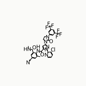 CNC(=O)c1cc(C#N)cc(C)c1NC(=O)c1cc(N2CCN(c3cc(C(F)(F)F)cc(C(F)(F)F)c3)C2=O)nn1-c1ncccc1Cl